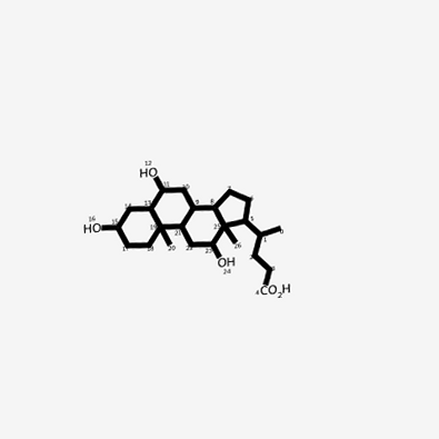 CC(CCC(=O)O)C1CCC2C3CC(O)C4CC(O)CCC4(C)C3CC(O)C12C